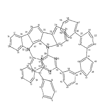 C1=CC(c2ccccc2)CC=C1n1c2ccccc2c2ccc3c4ccccc4n(-c4nc(-c5ccccc5)nc(-c5cccc(-c6cccc(-c7cccc(-c8ccccc8)c7)c6)c5)n4)c3c21